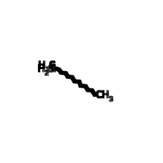 CCCCCCCCCCCCC[SiH2]C